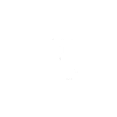 CCOS(=O)(=O)CN1c2ccccc2Oc2ccccc21